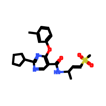 Cc1cccc(Oc2nc(C3CCCC3)ncc2C(=O)NC(C)/C=C/S(C)(=O)=O)c1